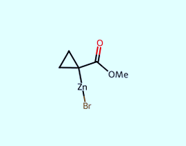 COC(=O)[C]1([Zn][Br])CC1